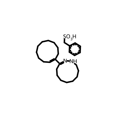 C1=C(C2=NNCCCCCCCC2)CCCCCCCCC1.O=S(=O)(O)Cc1ccccc1